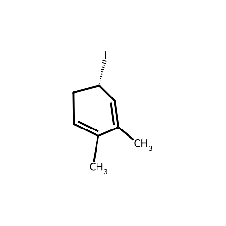 CC1=CC[C@H](I)C=C1C